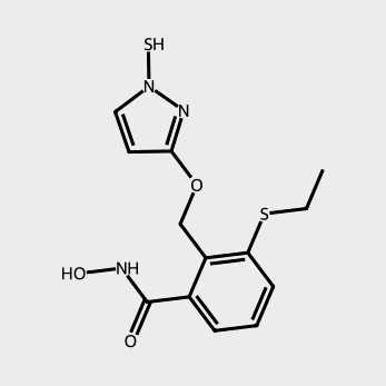 CCSc1cccc(C(=O)NO)c1COc1ccn(S)n1